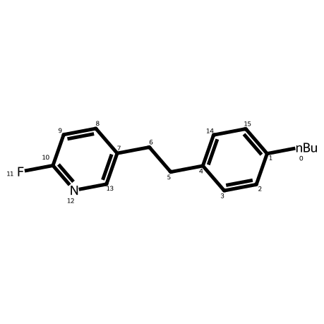 CCCCc1ccc(CCc2ccc(F)nc2)cc1